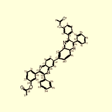 CC(=O)Oc1cccc(C2=NC3C=C(c4ccc5nc(-c6cccc(OC(C)=O)c6)c(-c6ccccc6)nc5c4)C=CC3N=C2c2ccccc2)c1